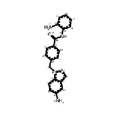 Nc1ccc2c(cnn2Cc2ccc(C(=O)Nc3ccccc3N)cc2)c1